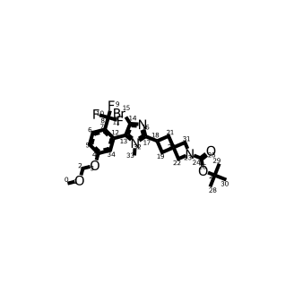 COCOc1ccc(C(F)(F)F)c(-c2c(Br)nc(C3CC4(C3)CN(C(=O)OC(C)(C)C)C4)n2C)c1